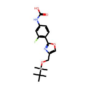 CC(C)(C)[Si](C)(C)OCc1coc(-c2ccc(NC(=O)O)cc2F)n1